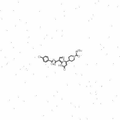 CC(C)(C)OC(=O)N1CCC(c2cc(=O)[nH]c3c(-c4noc(-c5ccc(Cl)cc5)n4)cnn23)CC1